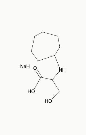 O=C(O)C(CO)NC1CCCCCC1.[NaH]